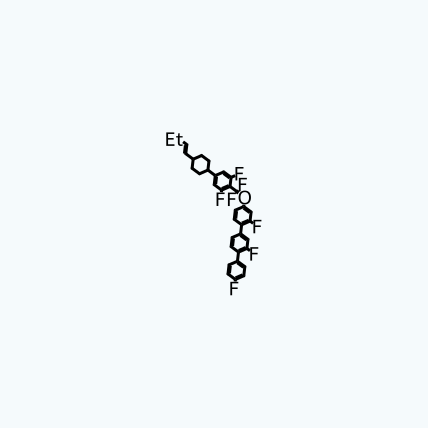 CC/C=C/C1CCC(c2cc(F)c(C(F)(F)Oc3ccc(-c4ccc(-c5ccc(F)cc5)c(F)c4)c(F)c3)c(F)c2)CC1